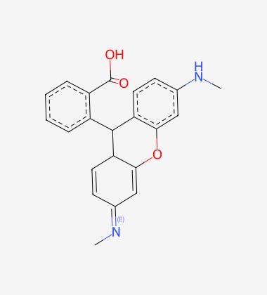 C/N=C1\C=CC2C(=C1)Oc1cc(NC)ccc1C2c1ccccc1C(=O)O